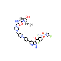 CC(C)(C)[C@H](NC(=O)CN1CCN(CC2CCN(c3ccc(-c4cnc5[nH]cc(C(=O)c6c(F)ccc(NS(=O)(=O)N7CC[C@@H](F)C7)c6F)c5c4)cc3)CC2)CC1)C(=O)N1C[C@H](O)C[C@H]1C(=O)O